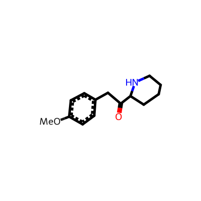 COc1ccc(CC(=O)C2CCCCN2)cc1